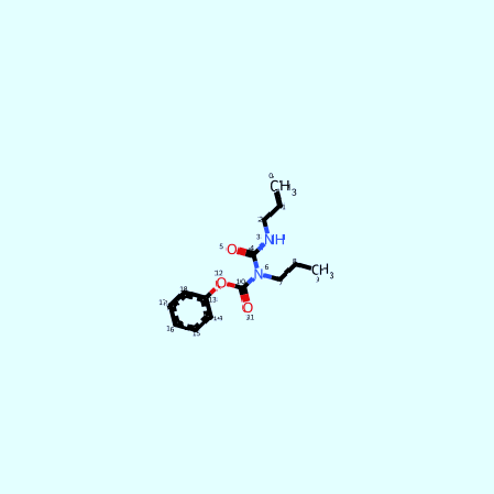 CCCNC(=O)N(CCC)C(=O)Oc1ccccc1